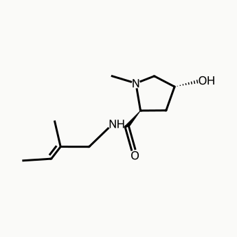 C/C=C(\C)CNC(=O)[C@@H]1C[C@@H](O)CN1C